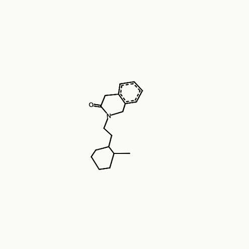 CC1CCCCC1CCN1Cc2ccccc2CC1=O